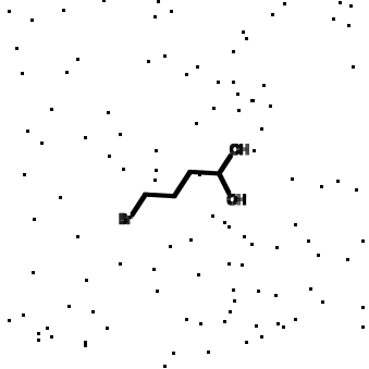 OC(O)CCCBr